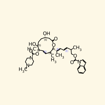 C/C(=C\C=C\C(C)COC(=O)n1ccc2ccccc21)[C@H]1OC(=O)C[C@@H](O)CC[C@](C)(O)[C@@H](OC(=O)N2CCN(C)CC2)/C=C/[C@@H]1C